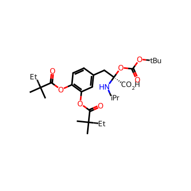 CCC(C)(C)C(=O)Oc1ccc(C[C@](NC(C)C)(OC(=O)OC(C)(C)C)C(=O)O)cc1OC(=O)C(C)(C)CC